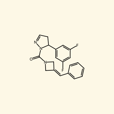 O=C(N1CC(=Cc2ccccc2)C1)N1N=CCC1c1cc(F)cc(F)c1